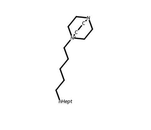 CCCCCCCCCCCC[N+]12CCN(CC1)CC2